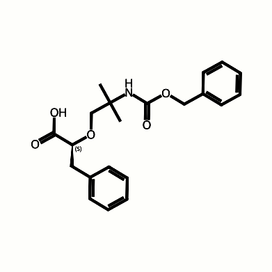 CC(C)(CO[C@@H](Cc1ccccc1)C(=O)O)NC(=O)OCc1ccccc1